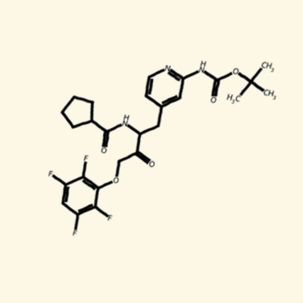 CC(C)(C)OC(=O)Nc1cc(CC(NC(=O)C2CCCC2)C(=O)COc2c(F)c(F)cc(F)c2F)ccn1